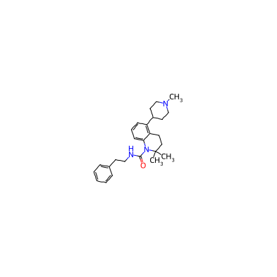 CN1CCC(c2cccc3c2CCC(C)(C)N3C(=O)NCCc2ccccc2)CC1